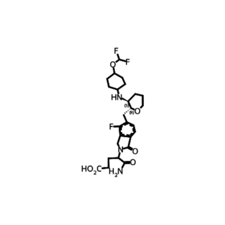 NC(=O)C(CCC(=O)O)N1Cc2c(ccc(C[C@H]3OCCC[C@@H]3NC3CCC(OC(F)F)CC3)c2F)C1=O